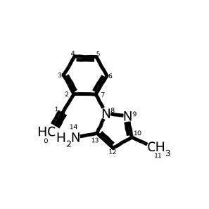 C#Cc1ccccc1-n1nc(C)cc1N